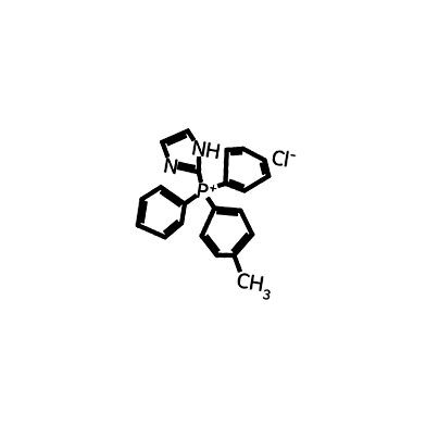 Cc1ccc([P+](c2ccccc2)(c2ccccc2)c2ncc[nH]2)cc1.[Cl-]